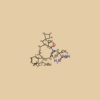 CCCCC(C)[C@]1(c2ccccc2)CCCC(CC2CCC2)C(C)C(=O)N(CC(C)(C)C(=N)N)CCC1